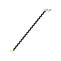 O=C(O)CCCCCCCCCCCCCCCCCCCCCCCCCCCCCCCCCCCS